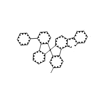 Clc1ccc2c(c1)C1(c3ccccc3-c3c(-c4ccccc4)cccc31)c1ccc3c(oc4ccccc43)c1-2